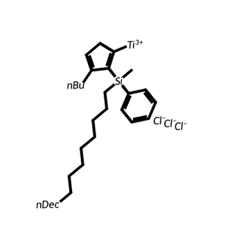 CCCCCCCCCCCCCCCCCC[Si](C)(C1=[C]([Ti+3])CC=C1CCCC)c1ccccc1.[Cl-].[Cl-].[Cl-]